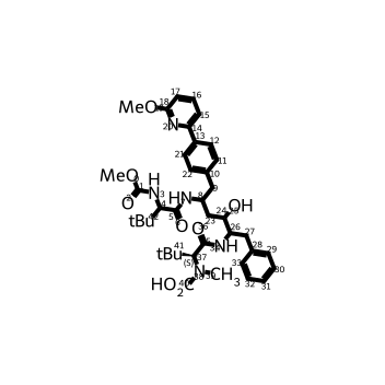 COC(=O)NC(C(=O)NC(Cc1ccc(-c2cccc(OC)n2)cc1)CC(O)C(Cc1ccccc1)NC(=O)[C@@H](N(C)C(=O)O)C(C)(C)C)C(C)(C)C